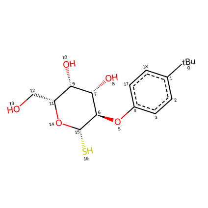 CC(C)(C)c1ccc(O[C@@H]2[C@@H](O)[C@@H](O)[C@@H](CO)O[C@H]2S)cc1